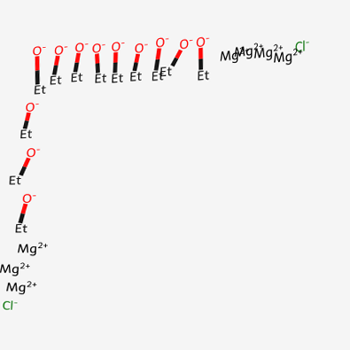 CC[O-].CC[O-].CC[O-].CC[O-].CC[O-].CC[O-].CC[O-].CC[O-].CC[O-].CC[O-].CC[O-].CC[O-].[Cl-].[Cl-].[Mg+2].[Mg+2].[Mg+2].[Mg+2].[Mg+2].[Mg+2].[Mg+2]